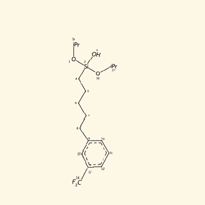 CC(C)O[Si](O)(CCCCCc1cccc(C(F)(F)F)c1)OC(C)C